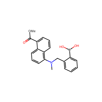 COC(=O)c1cccc2c(N(C)Cc3ccccc3B(O)O)cccc12